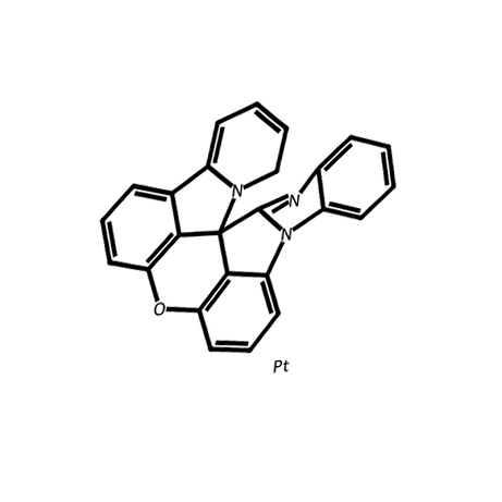 C1=CCN2C(=C1)c1cccc3c1C21c2c(cccc2-n2c1nc1ccccc12)O3.[Pt]